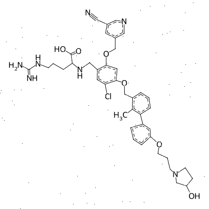 Cc1c(COc2cc(OCc3cncc(C#N)c3)c(CNC(CCCNC(=N)N)C(=O)O)cc2Cl)cccc1-c1cccc(OCCCN2CCC(O)C2)c1